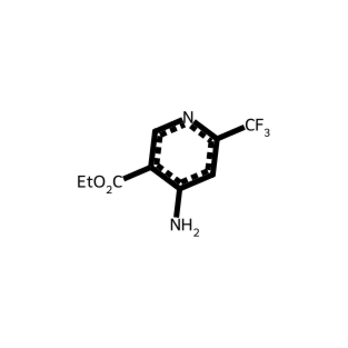 CCOC(=O)c1cnc(C(F)(F)F)cc1N